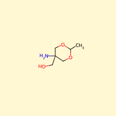 CC1OCC(N)(CO)CO1